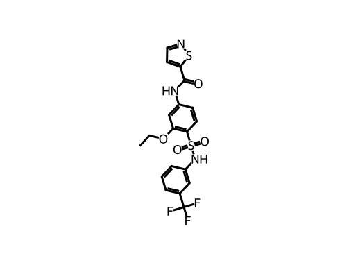 CCOc1cc(NC(=O)c2ccns2)ccc1S(=O)(=O)Nc1cccc(C(F)(F)F)c1